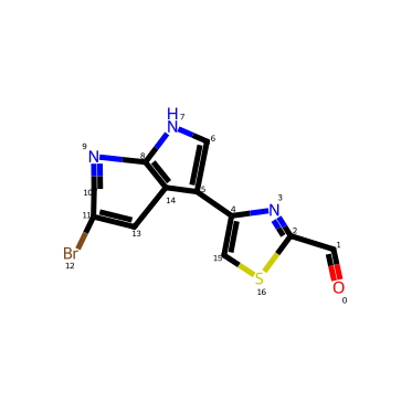 O=Cc1nc(-c2c[nH]c3ncc(Br)cc23)cs1